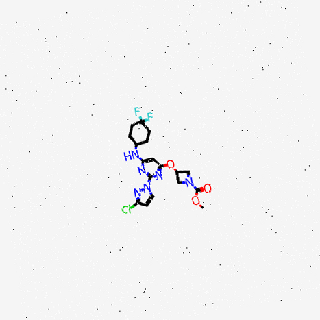 COC(=O)N1CC(Oc2cc(NC3CCC(F)(F)CC3)nc(-n3ccc(Cl)n3)n2)C1